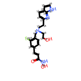 O=C(/C=C/c1ccc(CN(CCO)CCc2ccc3cc[nH]c3n2)c(F)c1)NO